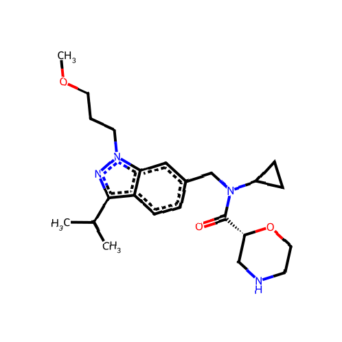 COCCCn1nc(C(C)C)c2ccc(CN(C(=O)[C@H]3CNCCO3)C3CC3)cc21